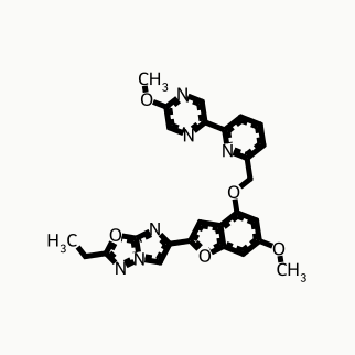 CCc1nn2cc(-c3cc4c(OCc5cccc(-c6cnc(OC)cn6)n5)cc(OC)cc4o3)nc2o1